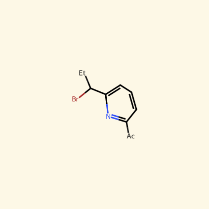 CCC(Br)c1cccc(C(C)=O)n1